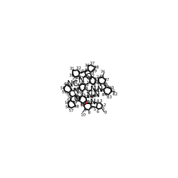 Cc1ccc2c(c1)c1cc(C)ccc1n2-c1nc(-c2c(-c3ccccc3)c(-n3c4ccccc4c4c5ccccc5oc43)c(C#N)c(-n3c4ccccc4c4c5ccccc5oc43)c2-c2ccccc2)nc(-n2c3ccc(C)cc3c3cc(C)ccc32)n1